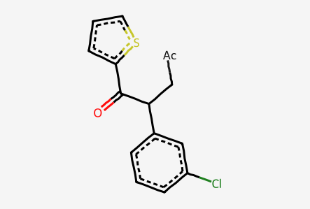 CC(=O)CC(C(=O)c1cccs1)c1cccc(Cl)c1